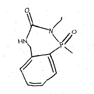 CN1C(=O)Nc2ccccc2P1(C)=O